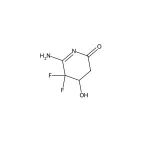 NC1=NC(=O)CC(O)C1(F)F